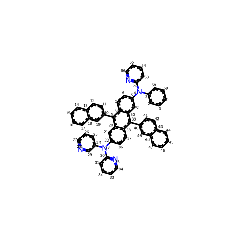 c1ccc(N(c2ccc3c(-c4ccc5ccccc5c4)c4cc(N(c5cccnc5)c5ccccn5)ccc4c(-c4ccc5ccccc5c4)c3c2)c2ccccn2)cc1